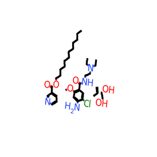 C=CC.CCCCCCCCCCCCOC(=O)c1cccnc1.CCN(CC)CCNC(=O)c1cc(Cl)c(N)cc1OC.OCCO